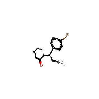 O=C1CCCC[C@@H]1[C@H](C[N+](=O)[O-])c1ccc(Br)cc1